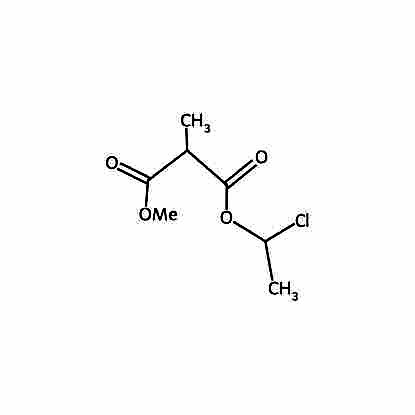 COC(=O)C(C)C(=O)OC(C)Cl